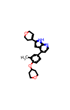 Cc1cc(-c2ccnc3[nH]c(C4=CCOCC4)cc23)ccc1OC1CCOCC1